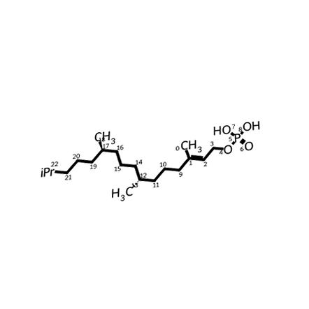 C/C(=C\COP(=O)(O)O)CCC[C@H](C)CCC[C@H](C)CCCC(C)C